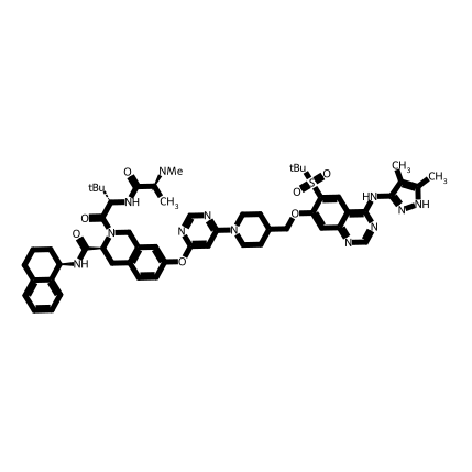 CN[C@@H](C)C(=O)N[C@H](C(=O)N1Cc2cc(Oc3cc(N4CCC(COc5cc6ncnc(Nc7n[nH]c(C)c7C)c6cc5S(=O)(=O)C(C)(C)C)CC4)ncn3)ccc2C[C@H]1C(=O)N[C@@H]1CCCc2ccccc21)C(C)(C)C